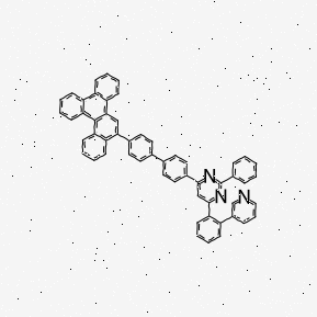 c1ccc(-c2nc(-c3ccc(-c4ccc(-c5cc6c7ccccc7c7ccccc7c6c6ccccc56)cc4)cc3)cc(-c3ccccc3-c3cccnc3)n2)cc1